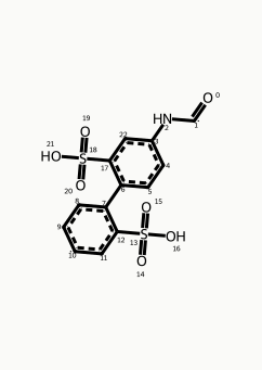 O=[C]Nc1ccc(-c2cc[c]cc2S(=O)(=O)O)c(S(=O)(=O)O)c1